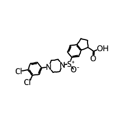 O=C(O)C1CCc2ccc([S+]([O-])N3CCN(c4ccc(Cl)c(Cl)c4)CC3)cc21